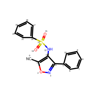 N#Cc1onc(-c2ccccc2)c1NS(=O)(=O)c1ccccc1